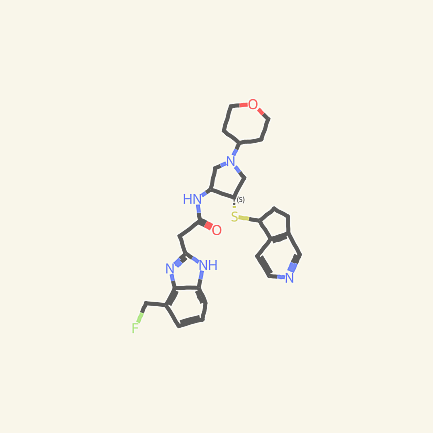 O=C(Cc1nc2c(CF)cccc2[nH]1)NC1CN(C2CCOCC2)C[C@@H]1SC1CCc2cnccc21